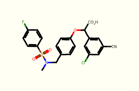 CN(Cc1ccc(OC(C(=O)O)c2cc(Cl)cc(C#N)c2)cc1)S(=O)(=O)c1ccc(F)cc1